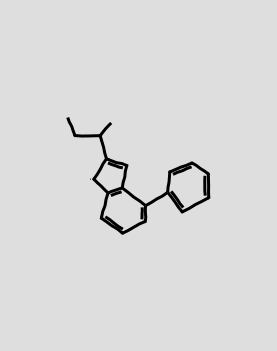 CCC(C)C1=Cc2c(cccc2-c2ccccc2)[CH]1